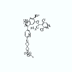 CC(Oc1cc2c(-c3ccc(N4CC5(C4)CN(S(C)(=O)=O)C5)nc3)n[nH]c2cc1F)c1c(Cl)cnnc1Cl